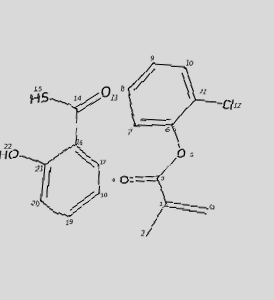 C=C(C)C(=O)Oc1ccccc1Cl.O=C(S)c1ccccc1O